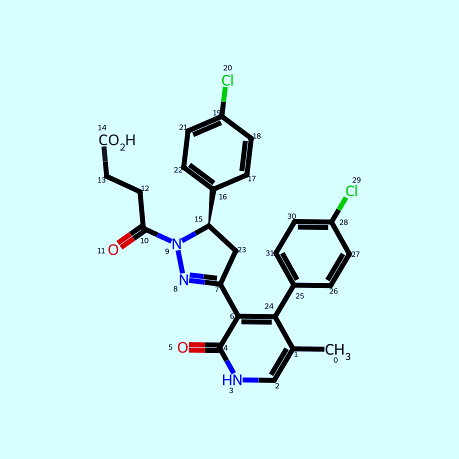 Cc1c[nH]c(=O)c(C2=NN(C(=O)CCC(=O)O)[C@@H](c3ccc(Cl)cc3)C2)c1-c1ccc(Cl)cc1